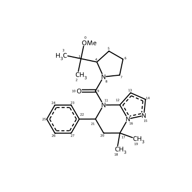 COC(C)(C)C1CCCN1C(=O)N1c2ccnn2C(C)(C)CC1c1ccccc1